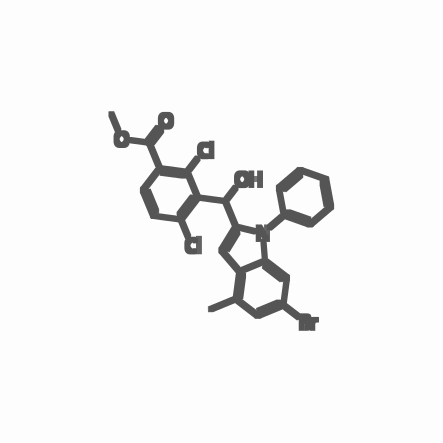 COC(=O)c1ccc(Cl)c(C(O)c2cc3c(C)cc(Br)cc3n2-c2ccccc2)c1Cl